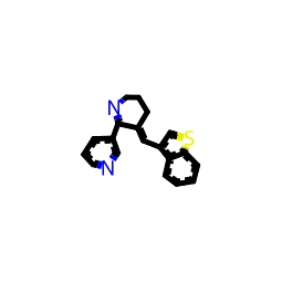 C(=C1CCCN=C1c1cccnc1)c1csc2ccccc12